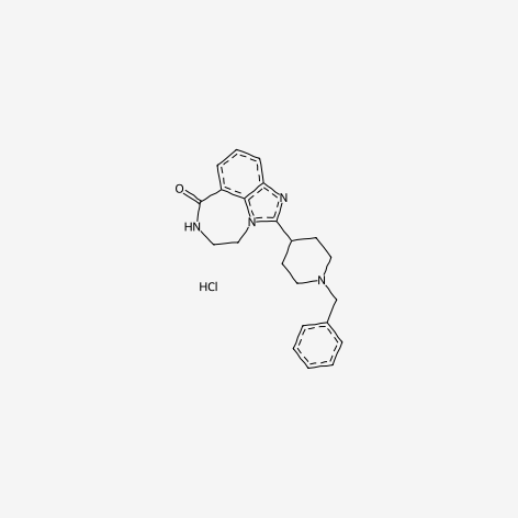 Cl.O=C1NCCn2c(C3CCN(Cc4ccccc4)CC3)nc3cccc1c32